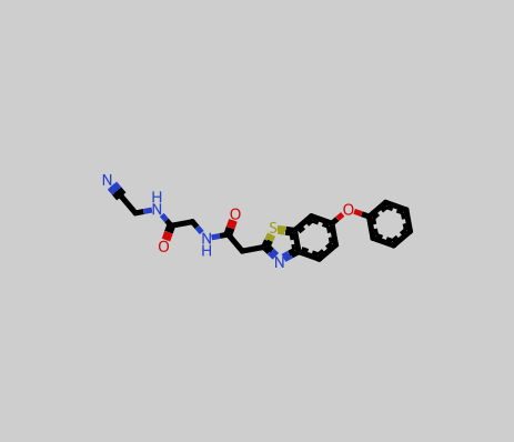 N#CCNC(=O)CNC(=O)Cc1nc2ccc(Oc3ccccc3)cc2s1